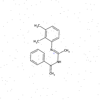 C=C(N/C(C)=N/c1cccc(C)c1C)c1ccccc1